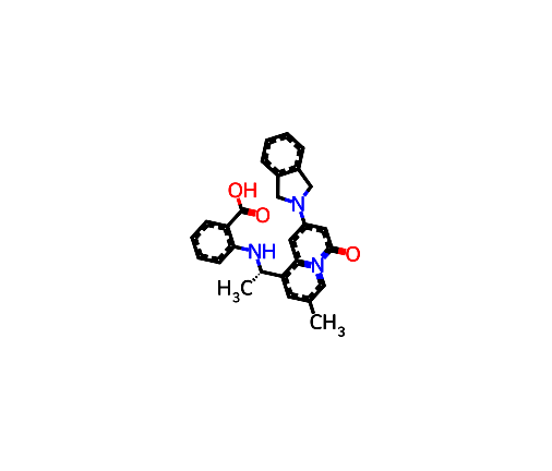 Cc1cc([C@H](C)Nc2ccccc2C(=O)O)c2cc(N3Cc4ccccc4C3)cc(=O)n2c1